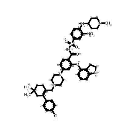 CN1CCC(Nc2ccc(S(=O)(=O)NC(=O)c3ccc(N4CCN(CC5=C(c6ccc(Cl)cc6)CC(C)(C)CC5)CC4)cc3Oc3cccc4c3CCN4)cc2[N+](=O)[O-])CC1